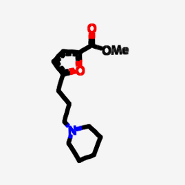 COC(=O)c1ccc(CCCN2CCCCC2)o1